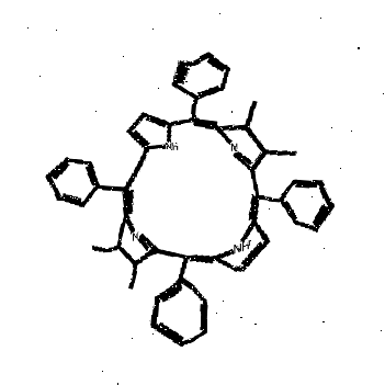 CC1c2nc(c(-c3ccccc3)c3ccc([nH]3)c(-c3ccccc3)c3nc(c(-c4ccccc4)c4ccc([nH]4)c2-c2ccccc2)C(C)C3C)C1C